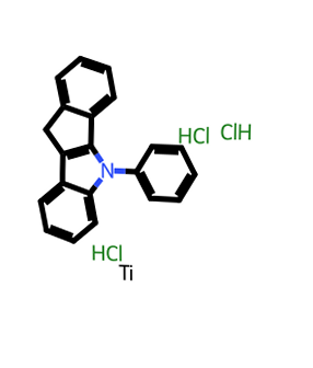 Cl.Cl.Cl.[Ti].c1ccc(-n2c3c(c4ccccc42)Cc2ccccc2-3)cc1